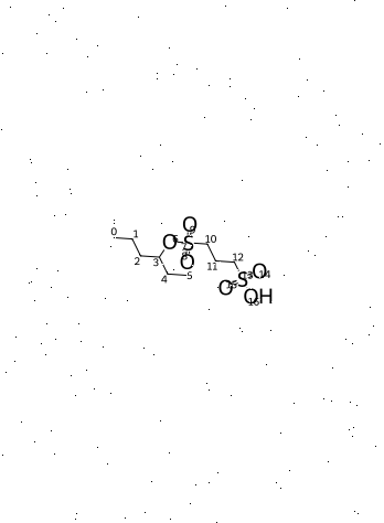 CCCC(CC)OS(=O)(=O)CCCS(=O)(=O)O